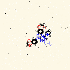 NC1=NC(Nc2ccc3c(c2)OCCO3)N(c2ccc3c(c2)OCCO3)C(N2CCCC2)=N1